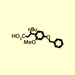 CCCCC(CC(=O)O)c1ccc(OCc2ccccc2)cc1OC